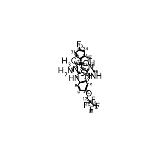 C[C@@H](N(N)C(=S)Nc1ccc(OCC(F)(F)C(F)F)cc1)[C@@](O)(Cc1nc[nH]n1)c1ccc(F)cc1F